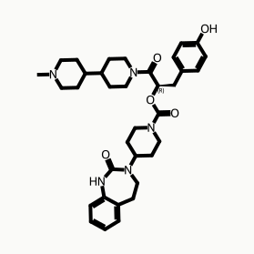 CN1CCC(C2CCN(C(=O)[C@@H](Cc3ccc(O)cc3)OC(=O)N3CCC(N4CCc5ccccc5NC4=O)CC3)CC2)CC1